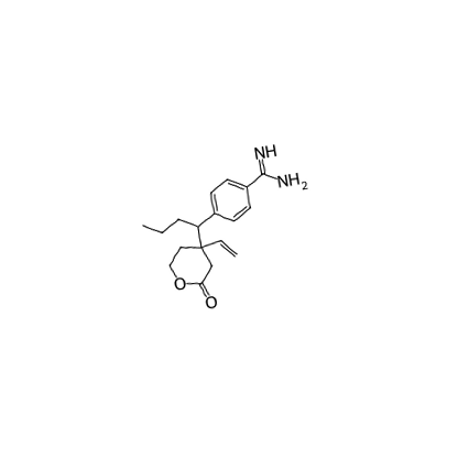 C=CC1(C(CCC)c2ccc(C(=N)N)cc2)CCOC(=O)C1